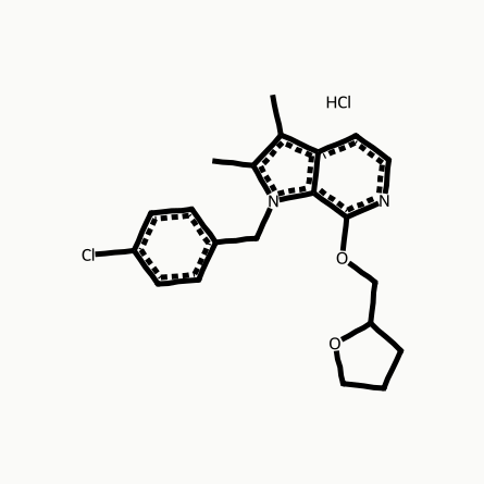 Cc1c(C)n(Cc2ccc(Cl)cc2)c2c(OCC3CCCO3)nccc12.Cl